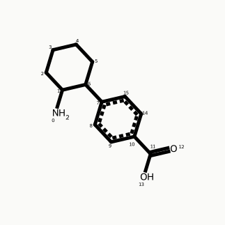 NC1CCCCC1c1ccc(C(=O)O)cc1